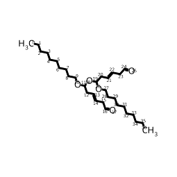 CCCCCCCCCCOC(CC=CCC=O)OC(CC=CCC=O)OCCCCCCCCCC